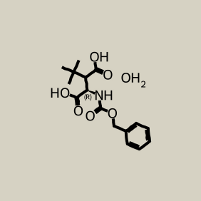 CC(C)(C)C(C(=O)O)[C@@H](NC(=O)OCc1ccccc1)C(=O)O.O